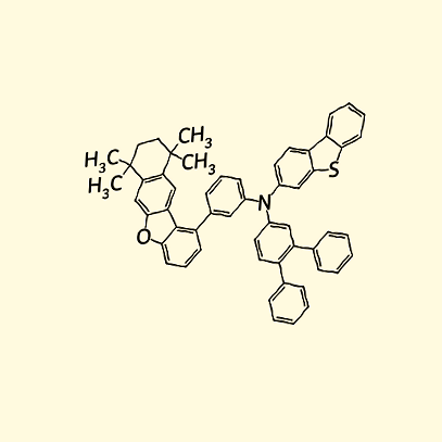 CC1(C)CCC(C)(C)c2cc3c(cc21)oc1cccc(-c2cccc(N(c4ccc(-c5ccccc5)c(-c5ccccc5)c4)c4ccc5c(c4)sc4ccccc45)c2)c13